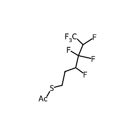 CC(=O)SCCC(F)C(F)(F)C(F)C(F)(F)F